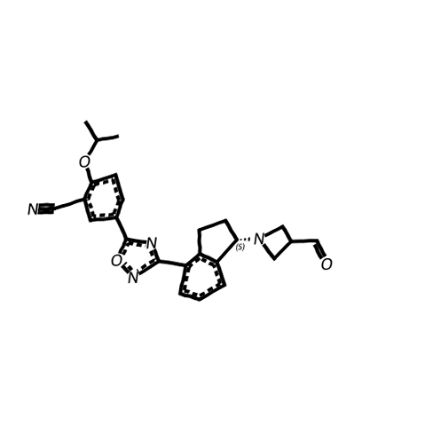 CC(C)Oc1ccc(-c2nc(-c3cccc4c3CC[C@@H]4N3CC(C=O)C3)no2)cc1C#N